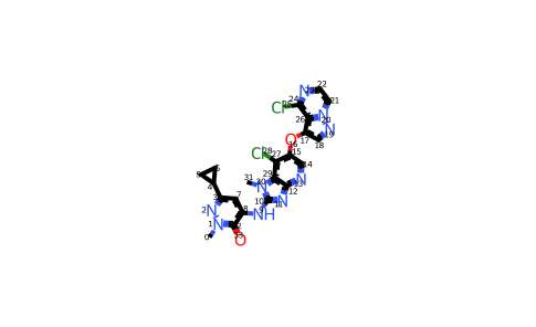 Cn1nc(C2CC2)cc(Nc2nc3ncc(Oc4cnn5ccnc(Cl)c45)c(Cl)c3n2C)c1=O